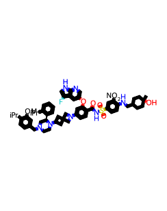 COc1cc(CN2CCN(C3CC4(C3)CN(c3ccc(C(=O)NS(=O)(=O)c5ccc(NCC6CCC(C)(O)CC6)c([N+](=O)[O-])c5)c(Oc5cnc6[nH]cc(F)c6c5)c3)C4)[C@H](c3ccccc3C(C)C)C2)ccc1C(C)C